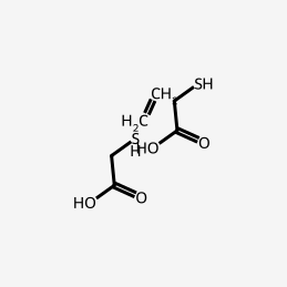 C=C.O=C(O)CS.O=C(O)CS